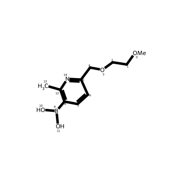 COCCOCc1ccc(B(O)O)c(C)n1